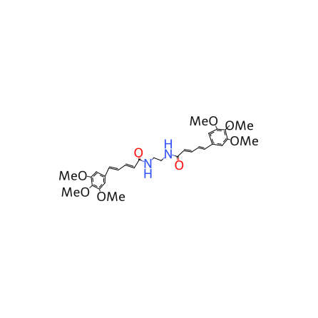 COc1cc(/C=C/C=C/C(=O)NCCNC(=O)/C=C/C=C/c2cc(OC)c(OC)c(OC)c2)cc(OC)c1OC